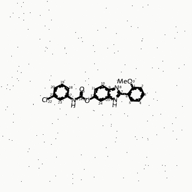 COc1ccccc1-c1nc2ccc(OC(=O)Nc3cccc(Cl)c3)cc2[nH]1